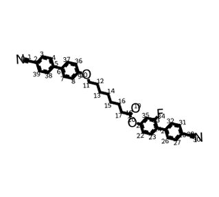 N#Cc1ccc(-c2ccc(OCCCCCCCC(=O)Oc3ccc(-c4ccc(C#N)cc4)c(F)c3)cc2)cc1